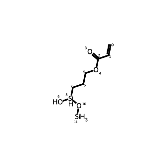 C=CC(=O)OCCC[SiH](O)O[SiH3]